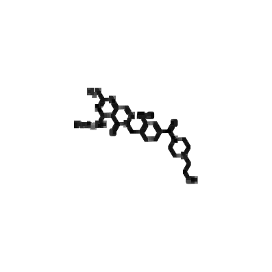 CCC[C@@H](C)Nc1nc(N)nc2cnn(Cc3ccc(C(=O)N4CCN(CCO)CC4)cc3OC)c(=O)c12